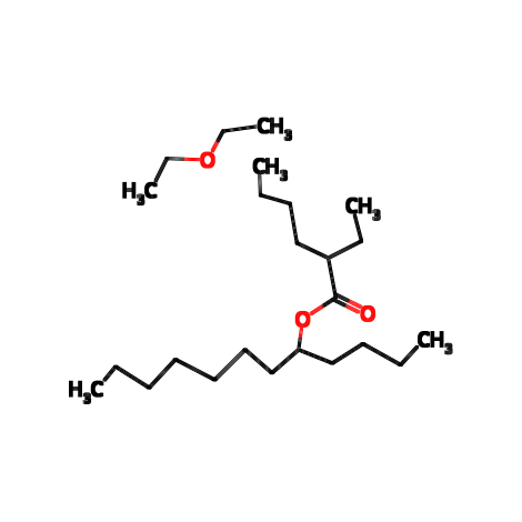 CCCCCCCC(CCCC)OC(=O)C(CC)CCCC.CCOCC